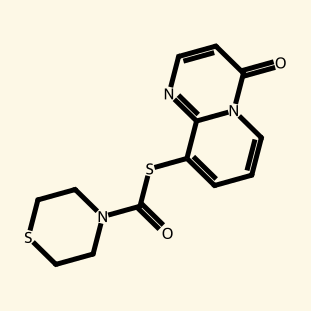 O=C(Sc1cccn2c(=O)ccnc12)N1CCSCC1